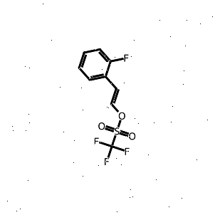 O=S(=O)(OC=Cc1ccccc1F)C(F)(F)F